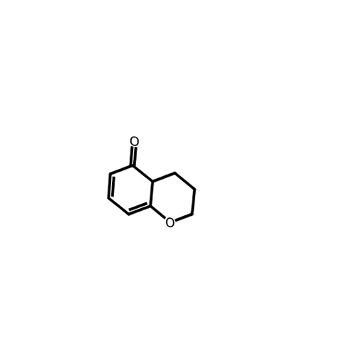 O=C1C=CC=C2OCCCC12